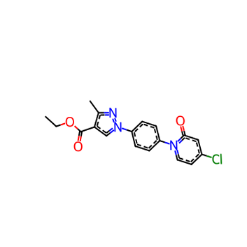 CCOC(=O)c1cn(-c2ccc(-n3ccc(Cl)cc3=O)cc2)nc1C